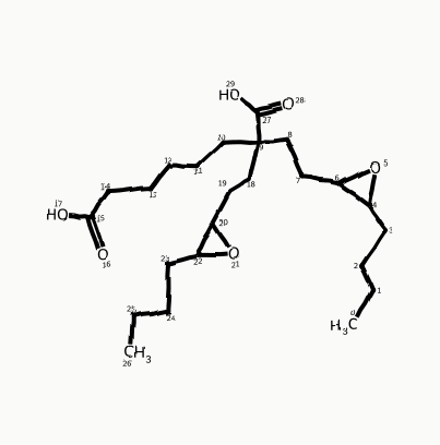 CCCCC1OC1CCC(CCCCCC(=O)O)(CCC1OC1CCCC)C(=O)O